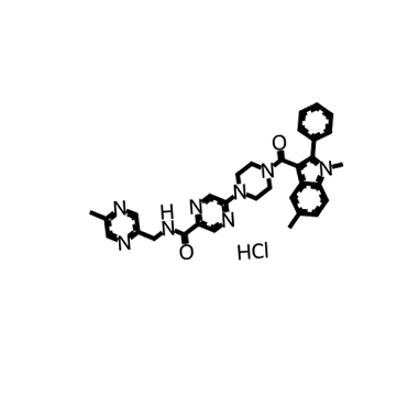 Cc1ccc2c(c1)c(C(=O)N1CCN(c3cnc(C(=O)NCc4cnc(C)cn4)cn3)CC1)c(-c1ccccc1)n2C.Cl